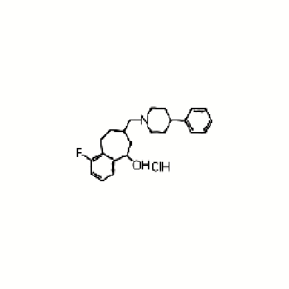 Cl.OC1CC(CN2CCC(c3ccccc3)CC2)CCc2c(F)cccc21